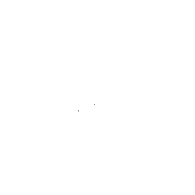 CO[C@H]1[C@H]2OC(C)(C)O[C@H]2O[C@]1(CCO)COCc1ccccc1